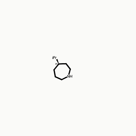 CC(C)[C@@H]1CCCNCC1